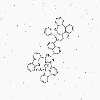 CC1(C)c2ccccc2-c2cccc(-c3nc(-c4cccc5c(-c6cc7sc8cccc9c%10ccccc%10n%10c%11ccccc%11c6c%10c7c89)cccc45)nc(-c4cccc5c4sc4ccccc45)n3)c21